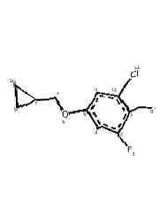 [CH2]c1c(F)cc(OCC2CC2)cc1Cl